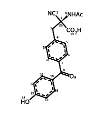 CC(=O)N[C@](C#N)(Cc1ccc(C(=O)c2ccc(O)cc2)cc1)C(=O)O